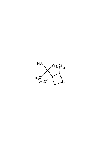 C[C@@H]1OC[C@@]1(C)C(C)(C)C